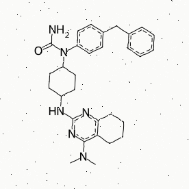 CN(C)c1nc(NC2CCC(N(C(N)=O)c3ccc(Cc4ccccc4)cc3)CC2)nc2c1CCCC2